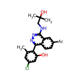 CC(=O)c1ccc2c(-c3c(C)cc(Cl)cc3O)nnc(NCC(C)(C)O)c2c1